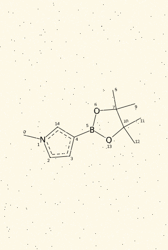 Cn1ccc(B2OC(C)(C)C(C)(C)O2)c1